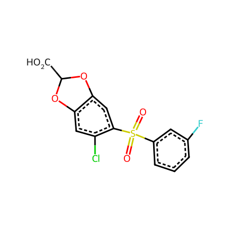 O=C(O)C1Oc2cc(Cl)c(S(=O)(=O)c3cccc(F)c3)cc2O1